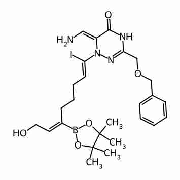 CC1(C)OB(/C(=C/CO)CCC/C=C(\I)N2N=C(COCc3ccccc3)NC(=O)/C2=C/N)OC1(C)C